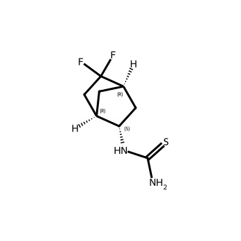 NC(=S)N[C@H]1C[C@H]2C[C@@H]1CC2(F)F